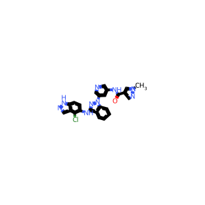 Cn1cc(C(=O)Nc2cncc(-n3nc(Nc4ccc5[nH]ncc5c4Cl)c4ccccc43)c2)cn1